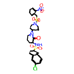 O=C1C(NS(=O)(=O)c2ccc3cc(Cl)ccc3c2)CCCN1C1CCN(S(=O)(=O)Cc2ccccc2[N+](=O)[O-])CC1